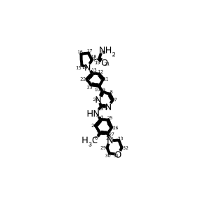 Cc1cc(Nc2nccc(-c3ccc(N4CCC[C@@H]4C(N)=O)cc3)n2)ccc1N1CCOCC1